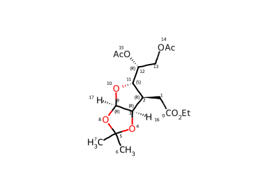 CCOC(=O)C[C@H]1[C@H]2OC(C)(C)O[C@H]2O[C@@H]1[C@@H](COC(C)=O)OC(C)=O